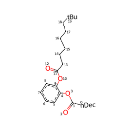 CCCCCCCCCCC(=O)Oc1ccccc1OC(=O)CCCCCCC(C)(C)C